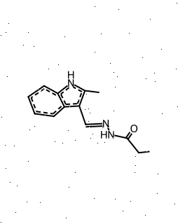 CCC(=O)NN=Cc1c(C)[nH]c2ccccc12